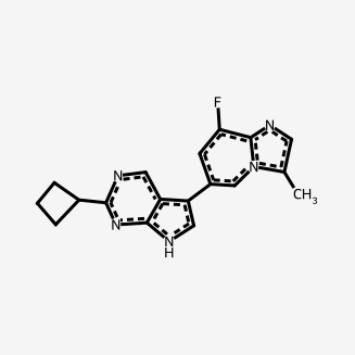 Cc1cnc2c(F)cc(-c3c[nH]c4nc(C5CCC5)ncc34)cn12